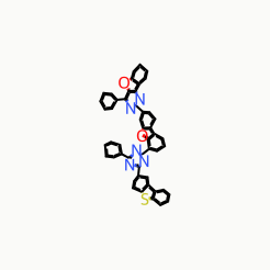 c1ccc(-c2nc(-c3ccc4sc5ccccc5c4c3)nc(-c3cccc4c3oc3cc(-c5nc(-c6ccccc6)c6oc7ccccc7c6n5)ccc34)n2)cc1